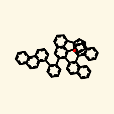 c1ccc(-c2cccc3c2ccc2ccccc23)c(-c2cc3cccc4c3c(c2-c2ccc3ccccc3c2-c2cccc3ccccc23)-c2ccccc2-4)c1